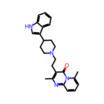 Cc1nc2cccc(C)n2c(=O)c1CCN1CCC(c2c[nH]c3ccccc23)CC1